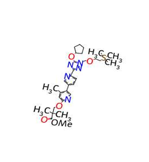 COC(=O)C(C)(C)COc1cc(C)c(-c2ccc(-c3nc(OC4CCCC4)n(COCCS(C)(C)C)n3)nc2)cn1